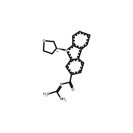 NC(N)=NC(=O)c1ccc2c3ccccc3n([C@H]3CCOC3)c2c1